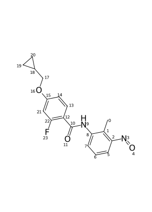 Cc1c(N=O)cccc1NC(=O)c1ccc(OCC2CC2)cc1F